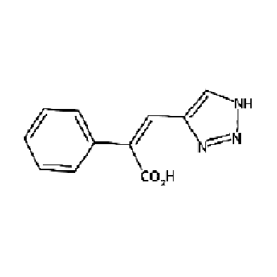 O=C(O)C(=Cc1c[nH]nn1)c1ccccc1